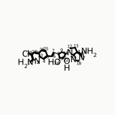 Nc1nc2cc(/C=C/[C@H]3C[C@@H](N4CCc5c(N)ncnc54)[C@H](O)[C@@H]3O)ccc2cc1Cl